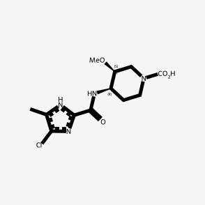 CO[C@H]1CN(C(=O)O)CC[C@H]1NC(=O)c1nc(Cl)c(C)[nH]1